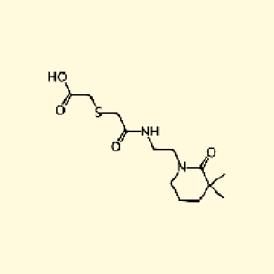 CC1(C)CCCN(CCNC(=O)CSCC(=O)O)C1=O